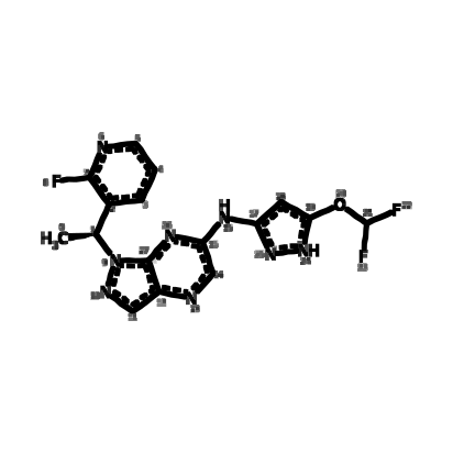 C[C@@H](c1cccnc1F)n1ncc2ncc(Nc3cc(OC(F)F)[nH]n3)nc21